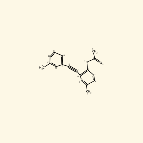 CC(=O)Oc1ccc(C)nc1C#Cc1cccc(C)c1